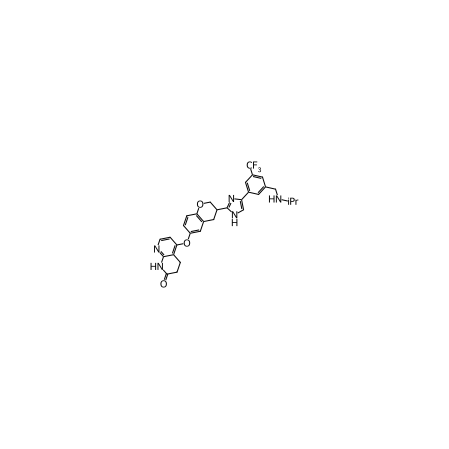 CC(C)NCc1cc(-c2c[nH]c(C3COc4ccc(Oc5ccnc6c5CCC(=O)N6)cc4C3)n2)cc(C(F)(F)F)c1